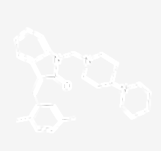 Cc1ccc(C)c(C=C2C(=O)N(CN3CCC(N4CCCCC4)CC3)c3ccccc32)c1